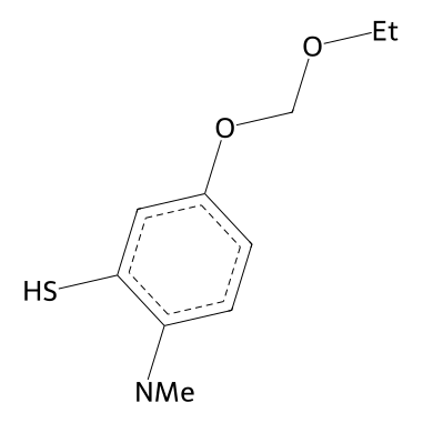 CCOCOc1ccc(NC)c(S)c1